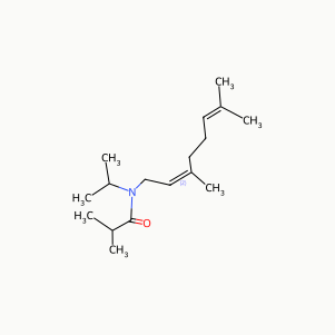 CC(C)=CCC/C(C)=C\CN(C(=O)C(C)C)C(C)C